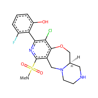 CNS(=O)(=O)c1nc(-c2c(O)cccc2F)c(Cl)c2c1CN1CCNC[C@@H]1CO2